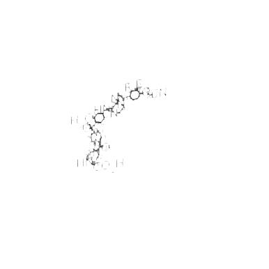 Cc1cc(Nc2nccn3c(-c4ccc(OCC#N)c(F)c4F)cnc23)ccc1C(=O)N1CCN(C(=O)N2CCN[C@@H](C(=O)O)C2)CC1